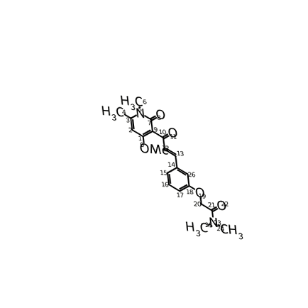 COc1cc(C)n(C)c(=O)c1C(=O)C=Cc1cccc(OCC(=O)N(C)C)c1